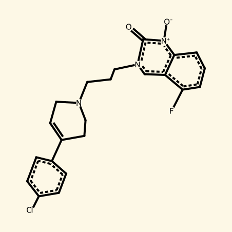 O=c1n(CCCN2CC=C(c3ccc(Cl)cc3)CC2)cc2c(F)cccc2[n+]1[O-]